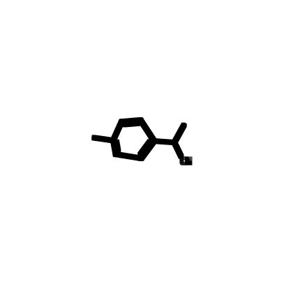 Cc1ccc(C(C)C#N)cc1